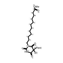 CCCC(C)C1(CC)C(=O)NC(=S)N(CCCCCCCCCCCC(=O)OC)C1=O